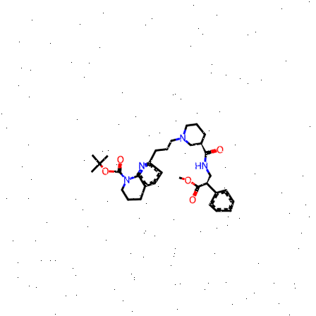 COC(=O)[C@@H](CNC(=O)[C@@H]1CCCN(CCCc2ccc3c(n2)N(C(=O)OC(C)(C)C)CCC3)C1)c1ccccc1